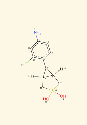 Nc1ccc(C2[C@H]3CS(O)(O)C[C@@H]23)c(F)c1